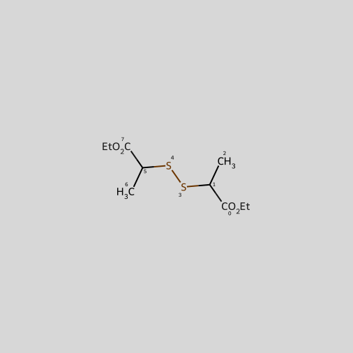 CCOC(=O)C(C)SSC(C)C(=O)OCC